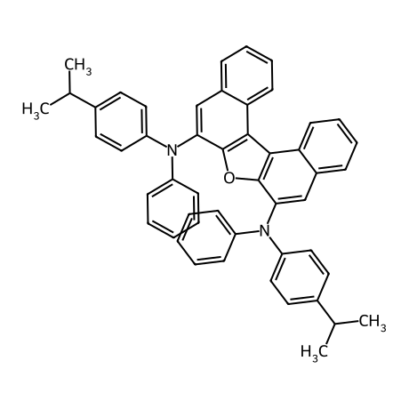 CC(C)c1ccc(N(c2ccccc2)c2cc3ccccc3c3c2oc2c(N(c4ccccc4)c4ccc(C(C)C)cc4)cc4ccccc4c23)cc1